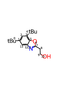 CC(C)(C)c1cc(C(C)(C)C)c2oc(CCO)nc2c1